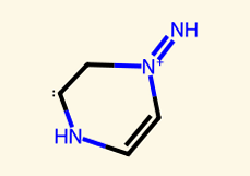 N=[N+]1C=CN[C]C1